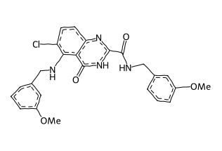 COc1cccc(CNC(=O)c2nc3ccc(Cl)c(NCc4cccc(OC)c4)c3c(=O)[nH]2)c1